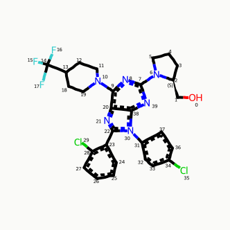 OC[C@@H]1CCCN1c1nc(N2CCC(C(F)(F)F)CC2)c2nc(-c3ccccc3Cl)n(-c3ccc(Cl)cc3)c2n1